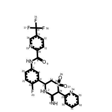 N=C1NC(c2cc(NC(=O)c3ccc(C(F)(F)F)cn3)ccc2F)CS(=O)(=O)C1c1ccccn1